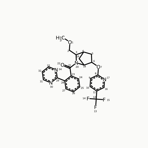 COCC1C2CC(Oc3ccc(C(F)(F)F)cn3)C(C2)N1C(=O)c1ccccc1-c1ncccn1